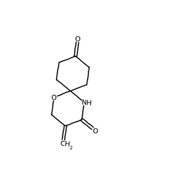 C=C1COC2(CCC(=O)CC2)NC1=O